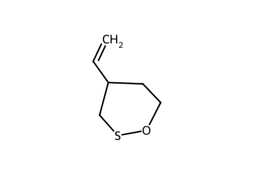 C=CC1CCOSC1